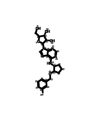 OCC1OC(n2cnc3c(N[C@H]4CCCC4OCc4cccc(I)c4)ncnc32)[C@H](O)[C@@H]1O